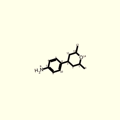 CC1CC(c2ccc(N)cc2)CC(C)O1